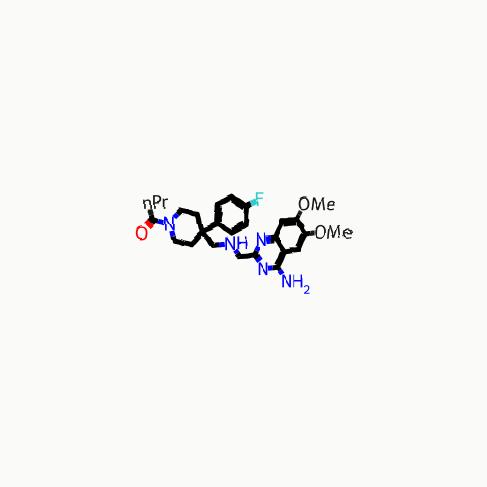 CCCC(=O)N1CCC(CNCc2nc(N)c3cc(OC)c(OC)cc3n2)(c2ccc(F)cc2)CC1